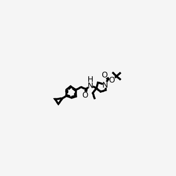 CCC1(NC(=O)Cc2ccc(C3CC3)cc2)CCN(C(=O)OC(C)(C)C)C1